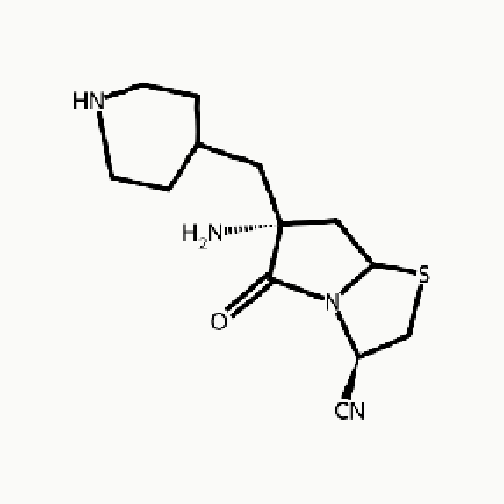 N#C[C@@H]1CSC2C[C@](N)(CC3CCNCC3)C(=O)N21